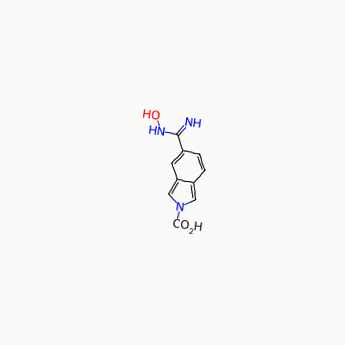 N=C(NO)c1ccc2cn(C(=O)O)cc2c1